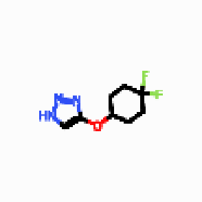 FC1(F)CCC(Oc2c[nH]nn2)CC1